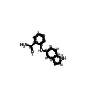 NC(=O)c1ccccc1Oc1ccc2[nH]ccc2c1